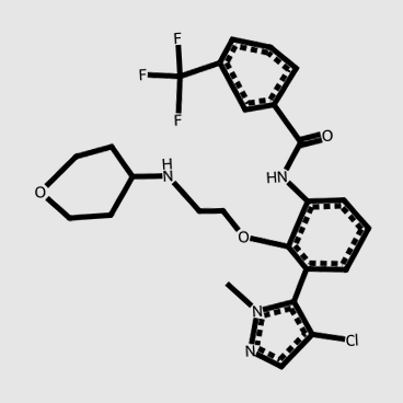 Cn1ncc(Cl)c1-c1cccc(NC(=O)c2cccc(C(F)(F)F)c2)c1OCCNC1CCOCC1